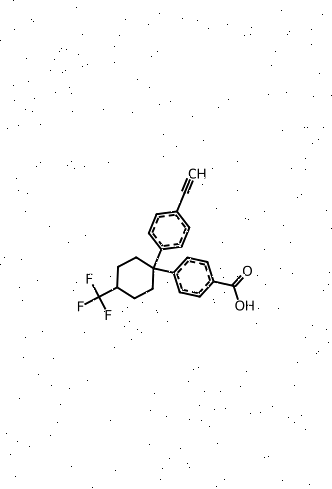 C#Cc1ccc(C2(c3ccc(C(=O)O)cc3)CCC(C(F)(F)F)CC2)cc1